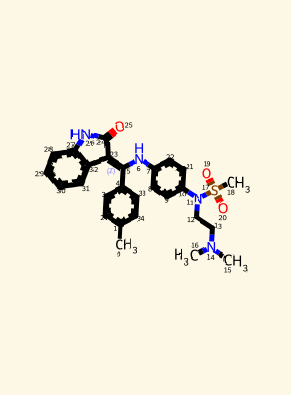 Cc1ccc(/C(Nc2ccc(N(CCN(C)C)S(C)(=O)=O)cc2)=C2/C(=O)Nc3ccccc32)cc1